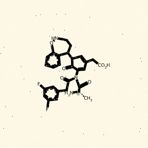 C[C@H](N)C(=O)N(C(=O)Cc1cc(F)cc(F)c1)C1=CC(CC(=O)O)=CC(C2CCNOc3ccccc32)C1=O